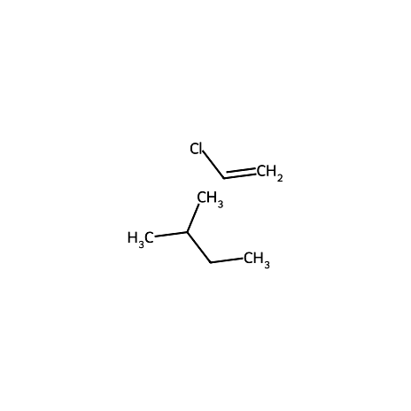 C=CCl.CCC(C)C